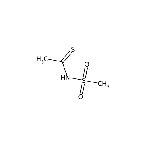 CC(=S)NS(C)(=O)=O